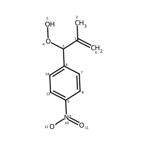 C=C(C)C(OO)c1ccc([N+](=O)[O-])cc1